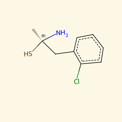 C[C@@](N)(S)Cc1ccccc1Cl